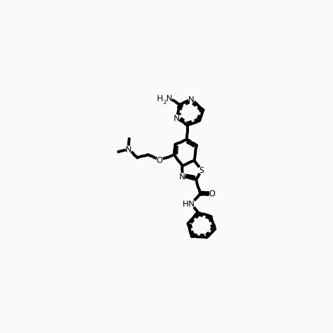 CN(C)CCOC1=CC(c2ccnc(N)n2)=CC2SC(C(=O)Nc3ccccc3)=NC12